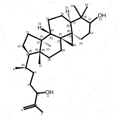 C=C(C)C(O)CC[C@@H](C)[C@H]1CC[C@@]2(C)[C@@H]3CC[C@H]4C(C)(C)C(O)CC[C@@]45C[C@@]35CC[C@]12C